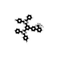 CC1(C)Oc2cc(-c3cc(-c4nc(-c5ccccc5)nc(-c5ccc(F)cc5)n4)cc(-c4nc(-c5ccccc5)nc(-c5ccc(F)cc5)n4)c3)ccc2-c2ccccc21